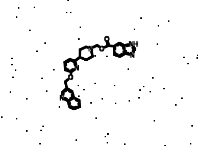 O=C(OCN1CCC(c2cccc(OCc3cnc4ccccc4c3)n2)CC1)c1ccc2nc[nH]c2c1